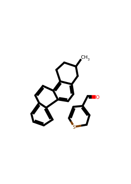 CC1CCc2c(ccc3c2ccc2ccccc23)C1.O=CC1=CCSC=C1